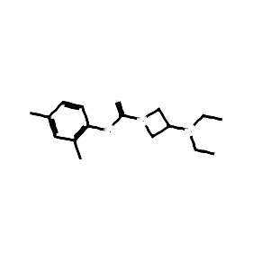 CCN(CC)C1CN(C(=O)Nc2ccc(C)cc2C)C1